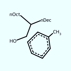 CCCCCCCCCCC(CO)CCCCCCCC.Cc1ccccc1